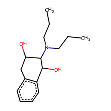 CCCN(CCC)C1C(O)Cc2ccccc2C1O